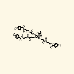 CCC(=O)NC(COCCC(=O)NCCCNC(=O)c1ccc(OC)cc1)(COCCC(=O)NCCCNC(=O)c1ccc(OC)cc1)COCCC(=O)NCCCNC(=O)c1ccc(OC)cc1